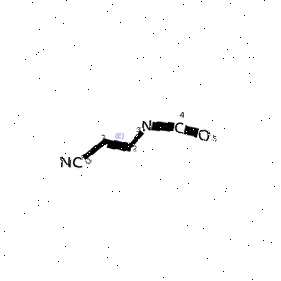 N#C/C=C/N=C=O